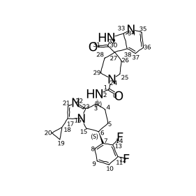 O=C(N[C@@H]1CC[C@@H](c2cccc(F)c2F)Cn2c(C3CC3)cnc21)N1CCC2(CC1)C(=O)Nc1ncccc12